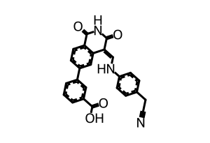 N#CCc1ccc(N/C=C2/C(=O)NC(=O)c3ccc(-c4cccc(C(=O)O)c4)cc32)cc1